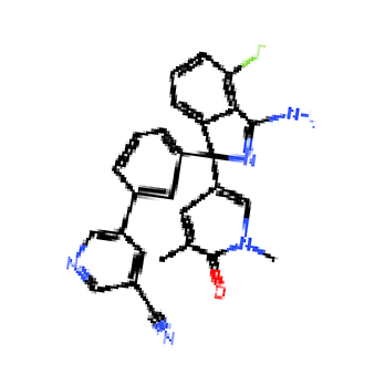 Cc1cc(C2(c3cccc(-c4cncc(C#N)c4)c3)N=C(N)c3c(F)cccc32)cn(C)c1=O